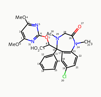 COc1cc(OC)nc(OC(C(=O)O)C2(c3ccccc3)c3cc(Cl)ccc3N(C)C(=O)CN2C(C)=O)n1